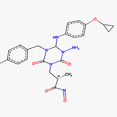 Cc1ccc(CN2C(=O)N(C[C@H](C)C(=O)N=O)C(=O)N(N)C2Nc2ccc(OC3CC3)cc2)cc1